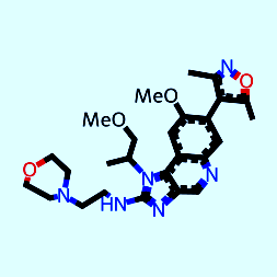 COCC(C)n1c(NCCN2CCOCC2)nc2cnc3cc(-c4c(C)noc4C)c(OC)cc3c21